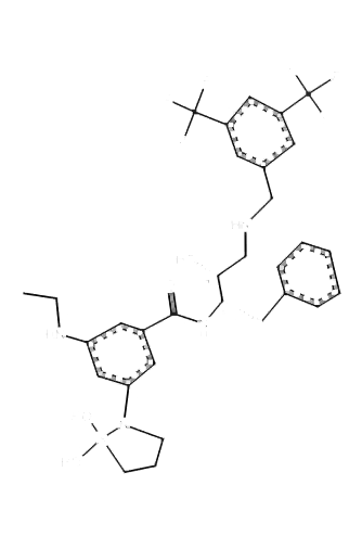 CCNc1cc(C(=O)N[C@@H](Cc2ccccc2)[C@H](O)CNCc2cc(C(F)(F)F)cc(C(F)(F)F)c2)cc(N2CCCS2(O)O)c1